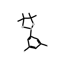 CC1(C)OB(c2cc(I)cc(I)c2)OC1(C)C